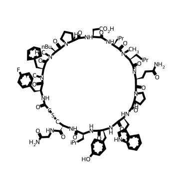 CCCC[C@H]1C(=O)N2CCC[C@@H]2C(=O)N[C@@H](CC(=O)O)C(=O)N[C@@H](C(C)C)C(=O)N(C)[C@@H](CC(C)C)C(=O)N[C@@H](CCC(N)=O)C(=O)N2CCC[C@@H]2C(=O)N[C@@H](Cc2c[nH]c3ccccc23)C(=O)N[C@@H](Cc2ccc(O)cc2)C(=O)N[C@@H](CC(C)C)C(=O)N[C@H](C(=O)NCC(N)=O)CSCC(=O)N[C@@H](Cc2ccc(F)cc2)C(=O)N(C)[C@@H](Cc2ccccc2)C(=O)N1C